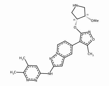 CO[C@H]1CNC[C@H]1Oc1noc(C)c1-c1ccn2nc(Nc3cc(C)c(C)nn3)cc2c1